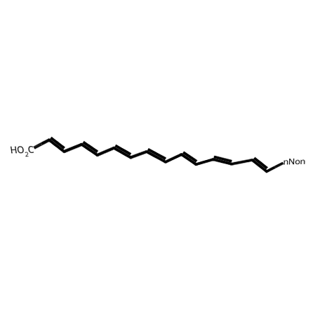 CCCCCCCCCC=CC=CC=CC=CC=CC=CC=CC(=O)O